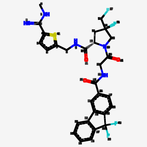 CNC(=N)c1ccc(CNC(=O)[C@@H]2C[C@](F)(CF)CN2C(=O)CNC(=O)c2ccc3c(c2)-c2ccccc2C3(F)F)s1